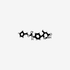 CC1CC(=O)NN=C1c1ccc(NC(=O)OCC2CCCC2)cc1